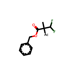 CC(=O)C(C)(C(=O)OCc1ccccc1)C(F)F